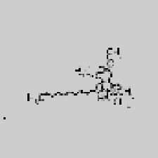 CCCCCCCCCCCC[N+](S)(C(=S)C(CC(=O)OCC)C(=O)OCC)C(C)C